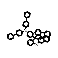 CC1(C)c2ccccc2-c2cccc(C3(C4=CCC(N(c5ccc(-c6ccccc6)cc5)c5ccc(-c6ccccc6)cc5)C=C4)c4ccccc4Sc4cc5ccccc5cc43)c21